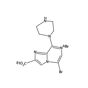 Br.CCOC(=O)c1cn2c(Br)cnc(N3CCNCC3)c2n1